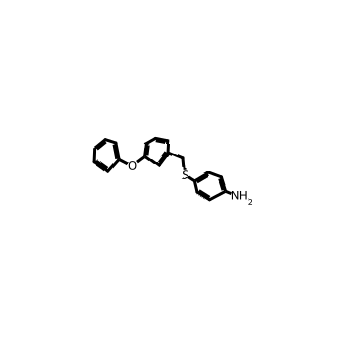 Nc1ccc(SCc2cccc(Oc3ccccc3)c2)cc1